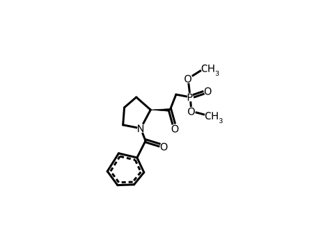 COP(=O)(CC(=O)[C@@H]1CCCN1C(=O)c1ccccc1)OC